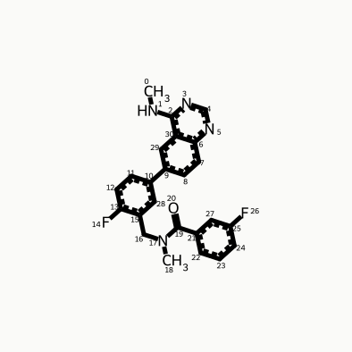 CNc1ncnc2ccc(-c3ccc(F)c(CN(C)C(=O)c4cccc(F)c4)c3)cc12